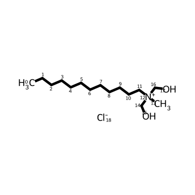 CCCCCCCCCCCC[N+](C)(CO)CO.[Cl-]